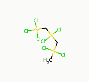 CS(Cl)(Cl)CS(Cl)(Cl)CS(Cl)(Cl)Cl